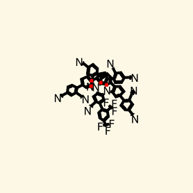 N#Cc1ccc(-c2ccc3c4ccc(-c5ccc(C#N)cc5C#N)cc4n(-c4cc(C#N)c(-c5ccc(C(F)(F)F)cc5C(F)(F)F)cc4-n4c5cc(-c6ccc(C#N)cc6C#N)ccc5c5ccc(-c6ccc(C#N)cc6C#N)cc54)c3c2)c(C#N)c1